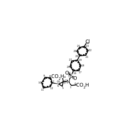 O=C(O)CN([C@]1(C(=O)O)C[C@H]1c1ccccc1)S(=O)(=O)c1ccc(-c2ccc(Cl)cc2)cc1